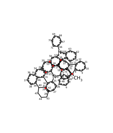 CC1(c2ccccc2)c2ccccc2-c2ccc(-c3ccccc3N(c3ccccc3-c3cccc4cccc(C5CCCCC5)c34)c3ccccc3-c3cccc4c3c3ccccc3n4-c3ccccc3)cc21